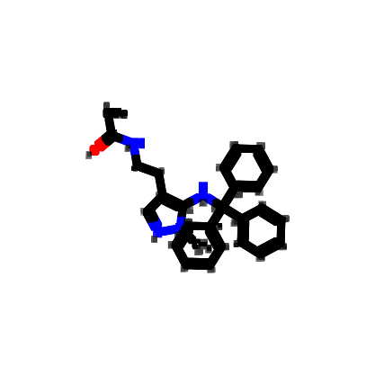 COC(=O)NCCc1cnn(C)c1NC(c1ccccc1)(c1ccccc1)c1ccccc1